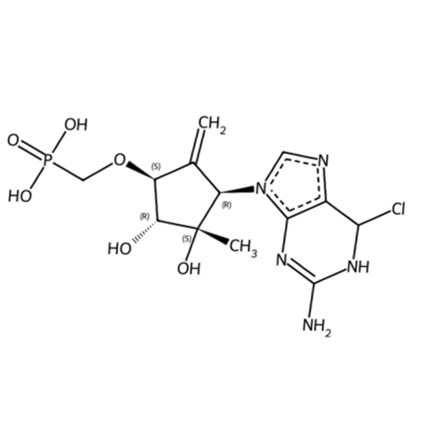 C=C1[C@H](OCP(=O)(O)O)[C@@H](O)[C@@](C)(O)[C@@H]1n1cnc2c1N=C(N)NC2Cl